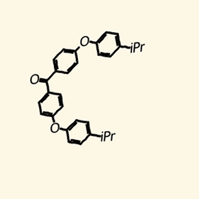 CC(C)c1ccc(Oc2ccc(C(=O)c3ccc(Oc4ccc(C(C)C)cc4)cc3)cc2)cc1